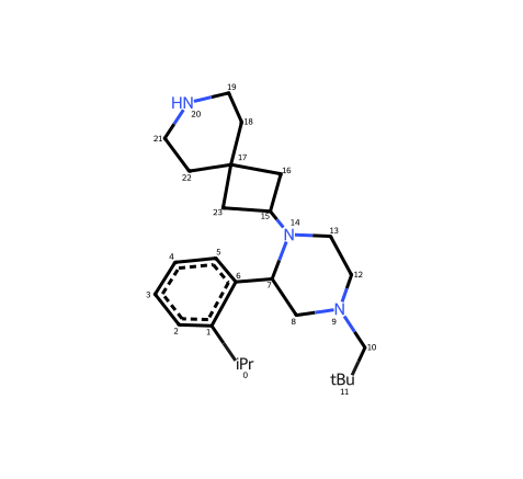 CC(C)c1ccccc1C1CN(CC(C)(C)C)CCN1C1CC2(CCNCC2)C1